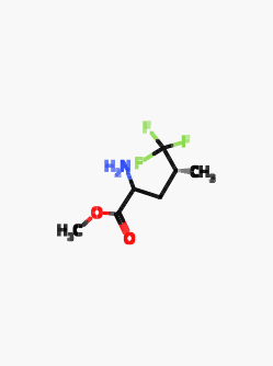 COC(=O)C(N)C[C@@H](C)C(F)(F)F